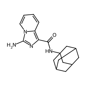 Nc1nc(C(=O)NC23CC4CC(CC(C4)C2)C3)c2ccccn12